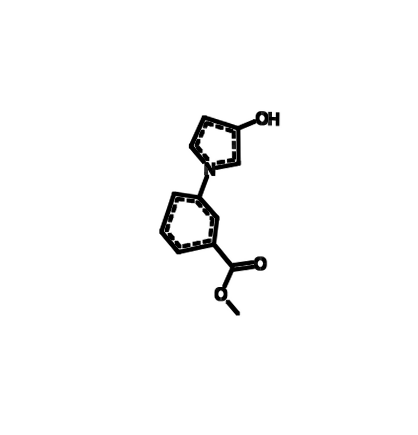 COC(=O)c1cccc(-n2ccc(O)c2)c1